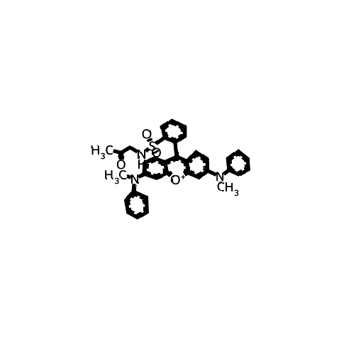 CC(=O)CNS(=O)(=O)c1ccccc1-c1c2ccc(N(C)c3ccccc3)cc2[o+]c2cc(N(C)c3ccccc3)ccc12